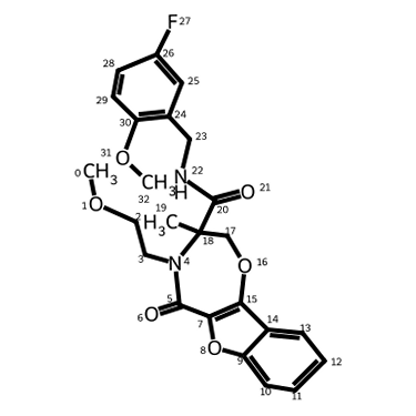 COCCN1C(=O)c2oc3ccccc3c2OCC1(C)C(=O)NCc1cc(F)ccc1OC